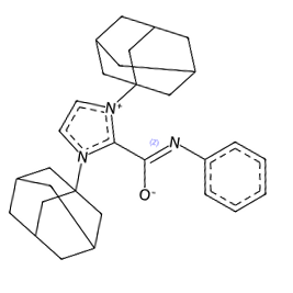 [O-]/C(=N\c1ccccc1)c1n(C23CC4CC(CC(C4)C2)C3)cc[n+]1C12CC3CC(CC(C3)C1)C2